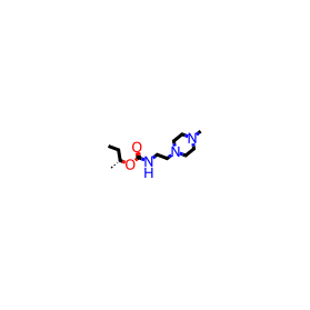 CC[C@@H](C)OC(=O)NCCN1CCN(C)CC1